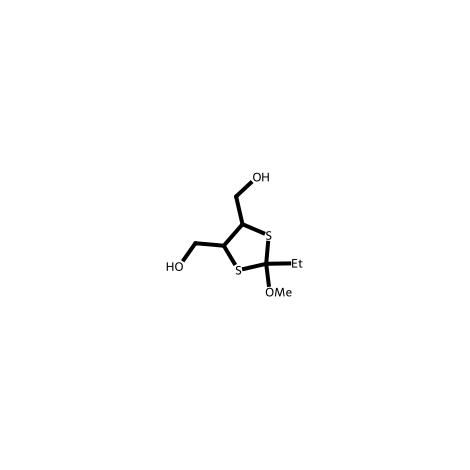 CCC1(OC)SC(CO)C(CO)S1